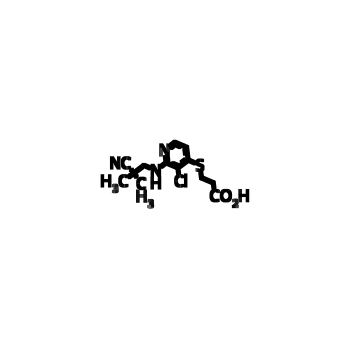 CC(C)(C#N)CNc1nccc(SCCC(=O)O)c1Cl